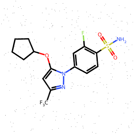 NS(=O)(=O)c1ccc(-n2nc(C(F)(F)F)cc2OC2CCCC2)cc1F